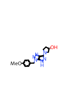 COc1ccc(Cn2nnc3c(N4CC[C@H](O)C4)n[nH]c32)cc1